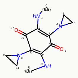 CCCCNC1=C(N2CC2)C(=O)C(NCCCC)=C(N2CC2)C1=O